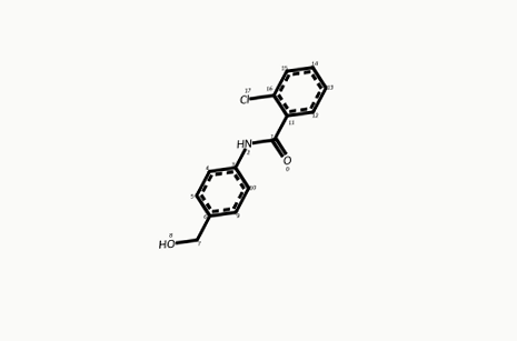 O=C(Nc1ccc(CO)cc1)c1ccccc1Cl